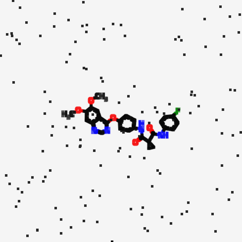 COc1cc2ncnc(Oc3ccc(NC(=O)C4(C(=O)Nc5ccc(F)cc5)CC4)cc3)c2cc1OC